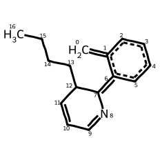 C=c1cccc/c1=C1\N=CC=CC1CCCC